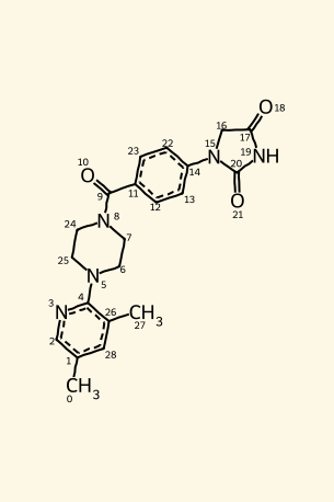 Cc1cnc(N2CCN(C(=O)c3ccc(N4CC(=O)NC4=O)cc3)CC2)c(C)c1